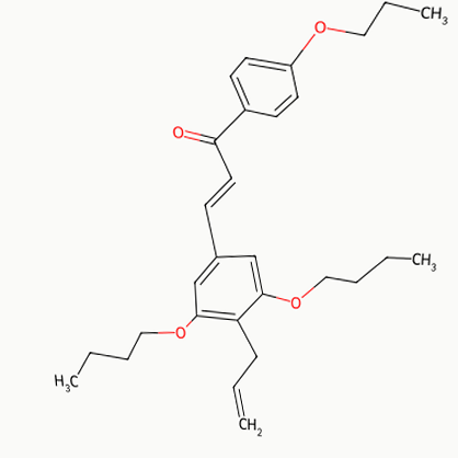 C=CCc1c(OCCCC)cc(C=CC(=O)c2ccc(OCCC)cc2)cc1OCCCC